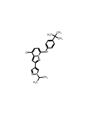 CC(C)n1cc(-c2cc3c(Cl)ccc(Nc4ccc(C(C)(C)C)cc4)n3n2)cn1